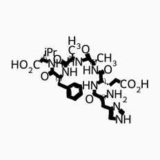 CC(C)[C@H](NC(=O)[C@H](Cc1ccccc1)NC(=O)[C@H](C)NC(=O)[C@H](C)NC(=O)[C@H](CCC(=O)O)NC(=O)[C@@H](N)Cc1c[nH]cn1)C(=O)O